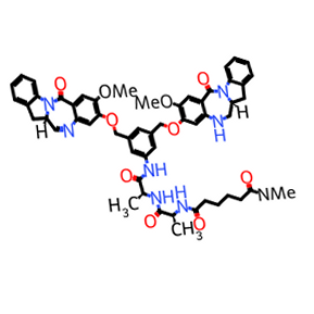 CNC(=O)CCCCC(=O)N[C@@H](C)C(=O)N[C@@H](C)C(=O)Nc1cc(COc2cc3c(cc2OC)C(=O)N2c4ccccc4C[C@H]2C=N3)cc(COc2cc3c(cc2OC)C(=O)N2c4ccccc4C[C@H]2CN3)c1